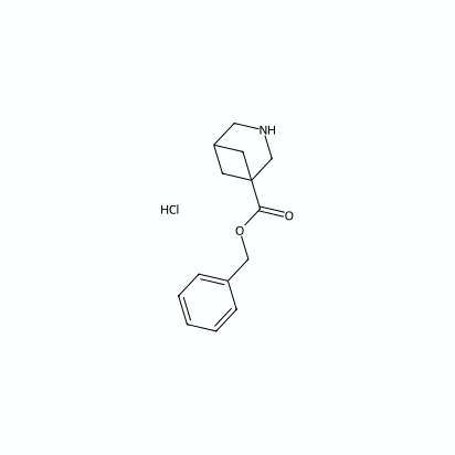 Cl.O=C(OCc1ccccc1)C12CNCC(C1)C2